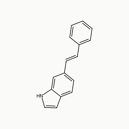 C(=Cc1ccc2cc[nH]c2c1)c1ccccc1